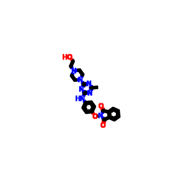 Cc1nc(Nc2ccc(ON3C(=O)c4ccccc4C3=O)cc2)nc(N2CCN(CCO)CC2)n1